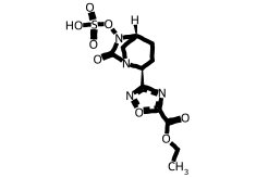 CCOC(=O)c1nc([C@@H]2CC[C@@H]3CN2C(=O)N3OS(=O)(=O)O)no1